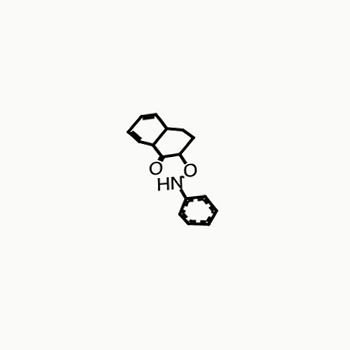 O=C1C(ONc2ccccc2)CCC2C=CC=CC12